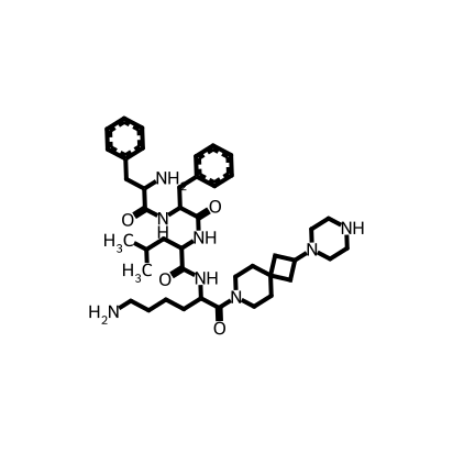 CC(C)CC(NC(=O)C(Cc1ccccc1)NC(=O)C(N)Cc1ccccc1)C(=O)NC(CCCCN)C(=O)N1CCC2(CC1)CC(N1CCNCC1)C2